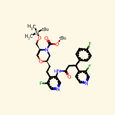 CC(C)(C)OC(=O)N1C[C@@H](CCc2c(F)cncc2NC(=O)CC(c2ccc(F)cc2)c2ccncc2F)OC[C@H]1CO[Si](C)(C)C(C)(C)C